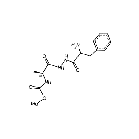 C[C@H](NC(=O)OC(C)(C)C)C(=O)NNC(=O)C(N)Cc1ccccc1